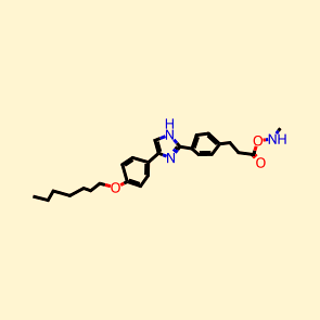 CCCCCCCOc1ccc(-c2c[nH]c(-c3ccc(CCC(=O)ONC)cc3)n2)cc1